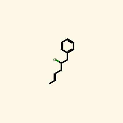 CC=CCC(Cl)Cc1[c]cccc1